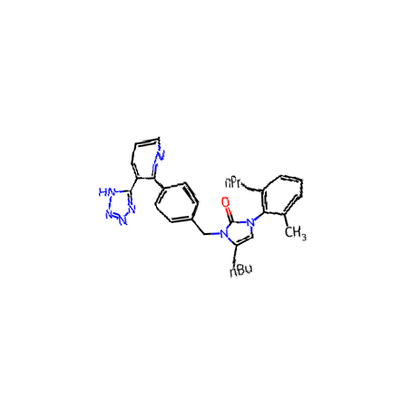 CCCCc1cn(-c2c(C)cccc2CCC)c(=O)n1Cc1ccc(-c2ncccc2-c2nnn[nH]2)cc1